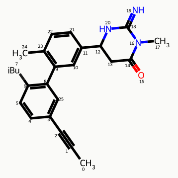 CC#Cc1ccc(C(C)CC)c(-c2cc(C3CC(=O)N(C)C(=N)N3)ccc2C)c1